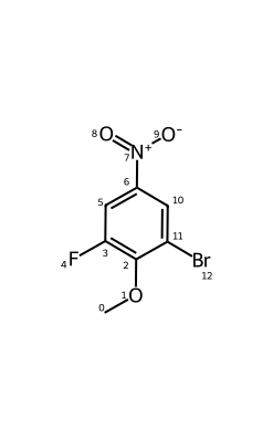 COc1c(F)cc([N+](=O)[O-])cc1Br